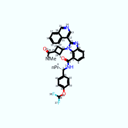 CCC[C@H](NC(=O)c1cccc2nc(-c3cncc4ccccc34)n(C3CC(C(=O)NC)C3)c12)c1ccc(OC(F)F)cc1